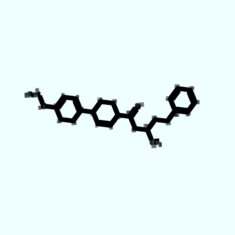 CCCCCOC1=CC=C(C2C=CC(C(=O)CC(CCc3ccccc3)C(Cl)(Cl)Cl)CC2)CC1